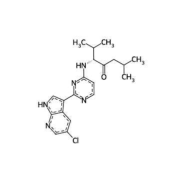 CC(C)CC(=O)[C@H](Nc1ccnc(-c2c[nH]c3ncc(Cl)cc23)n1)C(C)C